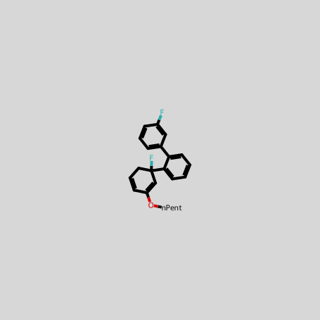 CCCCCOC1=CC(F)(c2ccccc2-c2cccc(F)c2)CC=C1